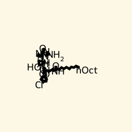 C=C1C(n2cnc3c(=O)nc(N)[nH]c32)C[C@H](O)[C@H]1COP(=O)(NCCNC(=O)CCCCCCC/C=C\CCCCCCCC)Oc1ccc(Cl)cc1